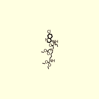 CCOC(=O)CN(CCCCNC(OCC)OCC)CC(=O)N(CC)Nc1ccnc2cc(Cl)ccc12